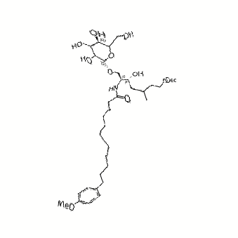 CCCCCCCCCCCCC(C)C[C@@H](O)[C@H](CO[C@H]1OC(CO)[C@H](O)C(O)C1O)NC(=O)CCCCCCCCCCc1ccc(OC)cc1